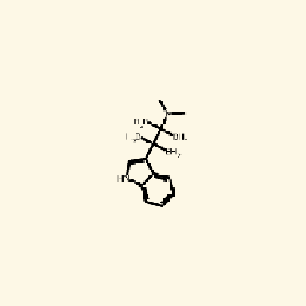 BC(B)(c1c[nH]c2ccccc12)C(B)(B)N(C)C